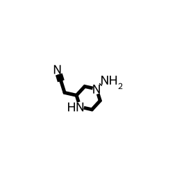 N#CCC1CN(N)CCN1